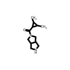 CC1C(C)C1C(=O)N1CC2CNCC2C1